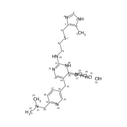 Cc1[nH]cnc1CSCCNc1ncc(Cc2ccc(CN(C)C)nc2)c(=O)[nH]1.Cl.Cl.Cl.Cl